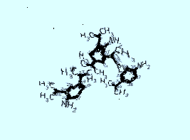 CC(C)c1cc(C(C)C)c(N)c(C(C)C)c1.CC(C)c1ccc(N)c(C(C)C)c1.CC(C)c1ccc(N)cc1